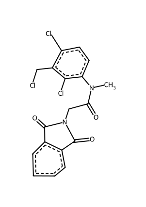 CN(C(=O)CN1C(=O)c2ccccc2C1=O)c1ccc(Cl)c(CCl)c1Cl